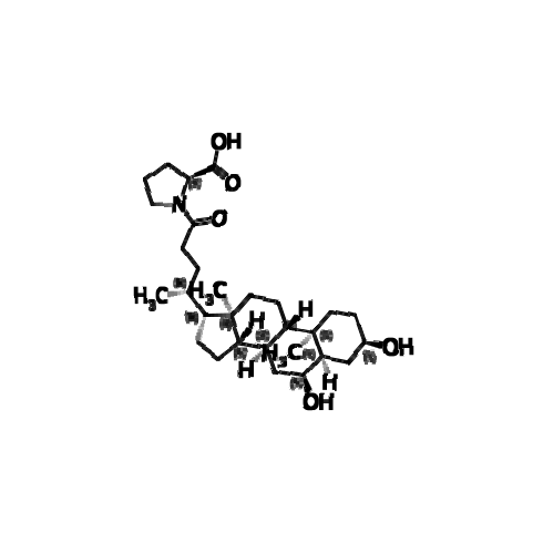 C[C@H](CCC(=O)N1CCC[C@H]1C(=O)O)[C@H]1CC[C@H]2[C@@H]3C[C@H](O)[C@@H]4C[C@H](O)CC[C@]4(C)[C@H]3CC[C@]12C